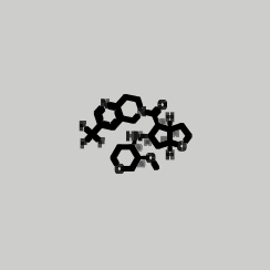 CO[C@@H]1COCC[C@@H]1N[C@@H]1C[C@H]2OCC[C@H]2[C@@H]1C(=O)N1CCc2ncc(C(F)(F)F)cc2C1